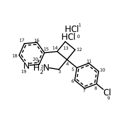 Cl.Cl.NCC1(c2ccc(Cl)cc2)CCC1c1cccnc1